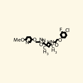 COc1ccc(OCc2nnc(C3(C)CC(C)(NC(=O)COc4ccc(Cl)c(F)c4)C3)o2)cn1